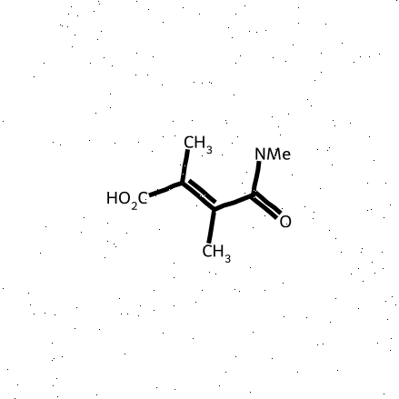 CNC(=O)C(C)=C(C)C(=O)O